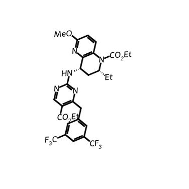 CCOC(=O)c1cnc(N[C@H]2C[C@@H](CC)N(C(=O)OCC)c3ccc(OC)nc32)nc1Cc1cc(C(F)(F)F)cc(C(F)(F)F)c1